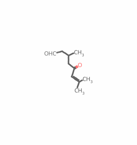 CC(C)=CC(=O)CC(C)CC=O